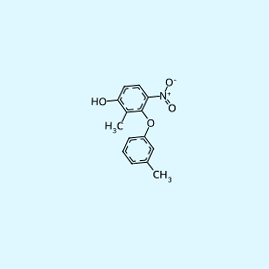 Cc1cccc(Oc2c([N+](=O)[O-])ccc(O)c2C)c1